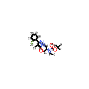 CCN(C(=O)OC(C)(C)C)C1COc2c(C)c(-c3ccccc3F)nn2C1